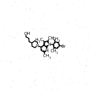 Cc1cc(N2CCC(CCCO)CC2)c2c(C)c(C)n(-c3c(C)cc(Br)cc3C)c2n1